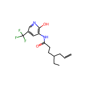 C=CCC(CC)CCC(=O)Nc1cc(C(F)(F)F)cnc1O